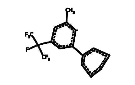 Cc1[c]c(-c2ccccc2)cc(C(F)(C(F)(F)F)C(F)(F)F)c1